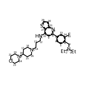 CCN(CC)Cc1ccc(-c2cc(NCCCN3CCC(N4CCOCC4)CC3)c3sccc3n2)cc1F